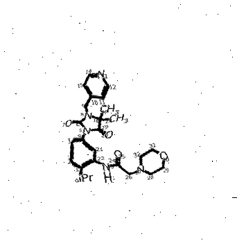 CC(C)c1ccc(N2C(=O)N(Cc3ccncc3)C(C)(C)C2=O)cc1NC(=O)CN1CCOCC1